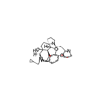 COc1ccc2c3c1O[C@H]1[C@@]4(CCCN4CCc4ccccn4)CC[C@@]4(O)[C@@H](C2)N(CC2CC2)CC[C@]314